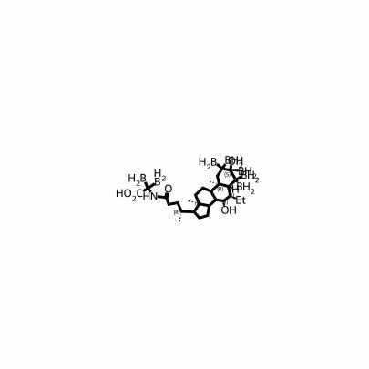 BC(B)(NC(=O)CC[C@@H](C)C1CCC2C3C(CC[C@@]21C)[C@@]1(C)CC(B)(B)[C@](B)(O)C(B)(B)[C@H]1[C@@H](CC)[C@H]3O)C(=O)O